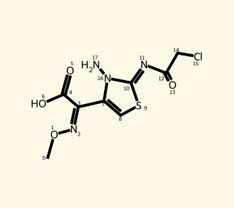 CON=C(C(=O)O)c1csc(=NC(=O)CCl)n1N